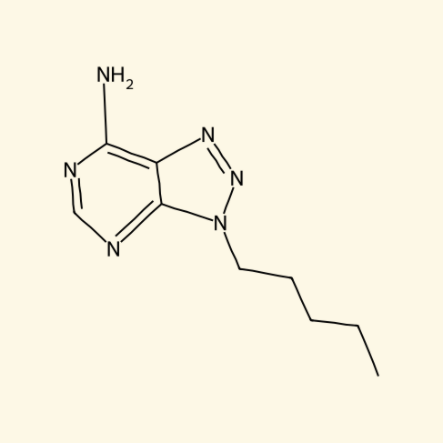 CCCCCn1nnc2c(N)ncnc21